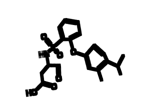 Cc1cc(Oc2ccccc2S(=O)(=O)NC(C=O)CC(=O)O)ccc1C(C)C